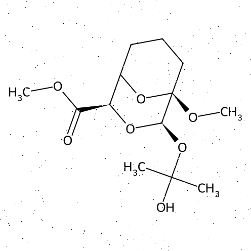 COC(=O)[C@@H]1O[C@H](OC(C)(C)O)[C@@]2(OC)CCCC1O2